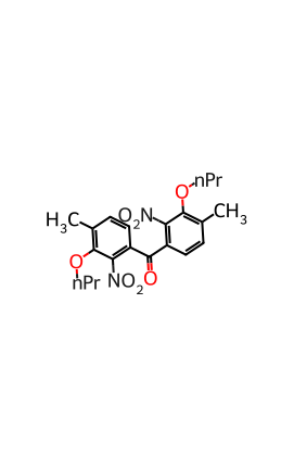 CCCOc1c(C)ccc(C(=O)c2ccc(C)c(OCCC)c2[N+](=O)[O-])c1[N+](=O)[O-]